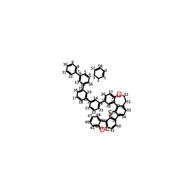 C1=CC[C@H](c2cc(-c3ccccc3)cc(-c3cccc(-c4cccc(-c5ccc6c(c5)-c5c(ccc7c5sc5c7ccc7oc8ccccc8c75)CCO6)c4)c3)c2)C=C1